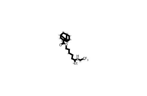 CCC(CCCCCOC(=O)C12CC3CC(CC(C3)C1)C2)NCC(F)(F)F